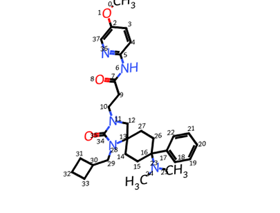 COc1ccc(NC(=O)CCN2CC3(CCC(c4ccccc4)(N(C)C)CC3)N(CC3CCC3)C2=O)nc1